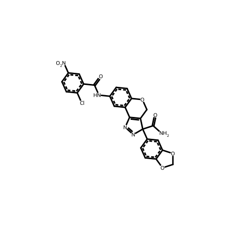 NC(=O)C1(c2ccc3c(c2)OCO3)N=NC2=C1COc1ccc(NC(=O)c3cc([N+](=O)[O-])ccc3Cl)cc12